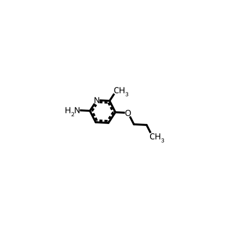 CCCOc1ccc(N)nc1C